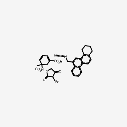 CC(C)C1C(=O)CSC1=O.CC1(C(=O)O)C=CC=C(C(=O)O)C1.[N-]=[N+]=NCc1cc2c3c(ccc2c2ccccc12)CCCC3